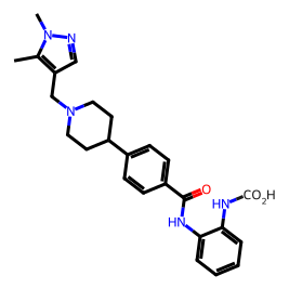 Cc1c(CN2CCC(c3ccc(C(=O)Nc4ccccc4NC(=O)O)cc3)CC2)cnn1C